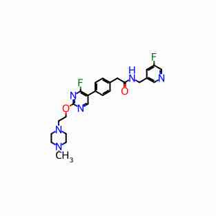 CN1CCN(CCOc2ncc(-c3ccc(CC(=O)NCc4cncc(F)c4)cc3)c(F)n2)CC1